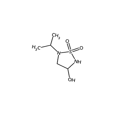 CC(C)N1CC(O)NS1(=O)=O